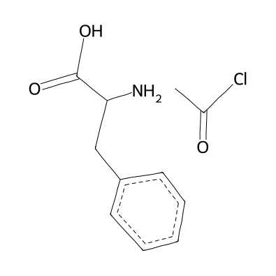 CC(=O)Cl.NC(Cc1ccccc1)C(=O)O